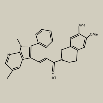 COc1cc2c(cc1OC)CN(C(=O)C=Cc1c(-c3ccccc3)n(C)c3ncc(C)cc13)CC2.Cl